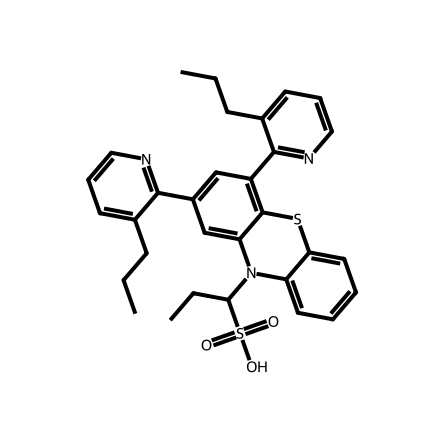 CCCc1cccnc1-c1cc(-c2ncccc2CCC)c2c(c1)N(C(CC)S(=O)(=O)O)c1ccccc1S2